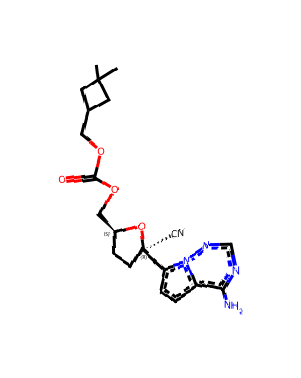 CC1(C)CC(COC(=O)OC[C@@H]2CC[C@](C#N)(c3ccc4c(N)ncnn34)O2)C1